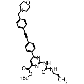 C=CCNC(=O)Nc1nc(C(=O)OCCCC)cc(-c2ccc(C#Cc3ccc(CN4CCOCC4)cc3)cc2)n1